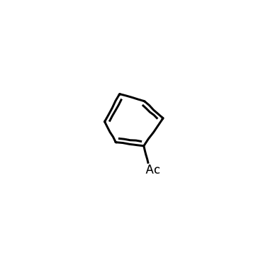 [CH]C(=O)c1ccccc1